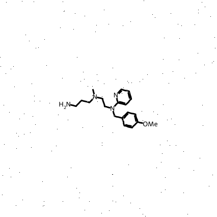 COc1ccc(CN(CCN(C)CCCN)c2ccccn2)cc1